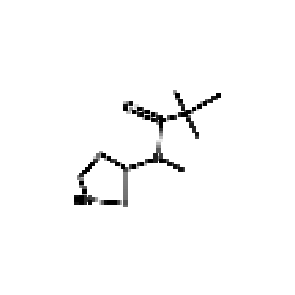 CN(C(=O)C(C)(C)C)C1CCNC1